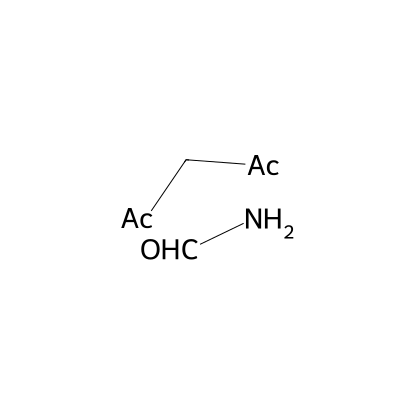 CC(=O)CC(C)=O.NC=O